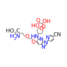 N#Cc1ccc(-n2cnc3cc(OCCOCCC(N)C(=O)O)c(NC4CCOCC4)nc32)nc1.O=C(O)C(=O)O